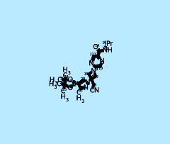 Cc1nn(C2(CC#N)CN(c3cnc(C(=O)NC(C)C)cn3)C2)cc1B1OC(C)(C)C(C)(C)O1